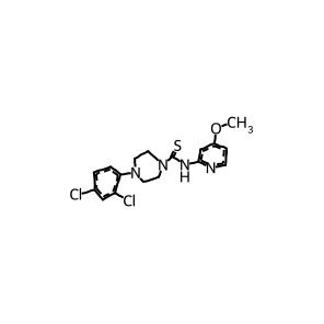 COc1ccnc(NC(=S)N2CCN(c3ccc(Cl)cc3Cl)CC2)c1